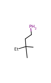 CCC(C)(C)CCP